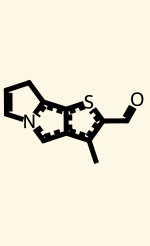 Cc1c(C=O)sc2c3n(cc12)C=CC3